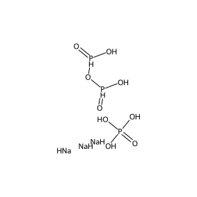 O=P(O)(O)O.O=[PH](O)O[PH](=O)O.[NaH].[NaH].[NaH]